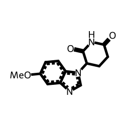 COc1ccc2c(c1)ncn2C1CCC(=O)NC1=O